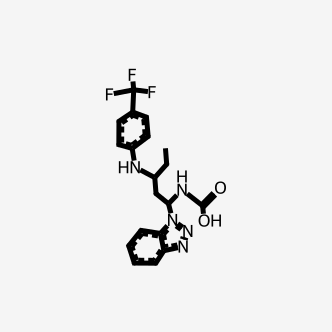 CCC(CC(NC(=O)O)n1nnc2ccccc21)Nc1ccc(C(F)(F)F)cc1